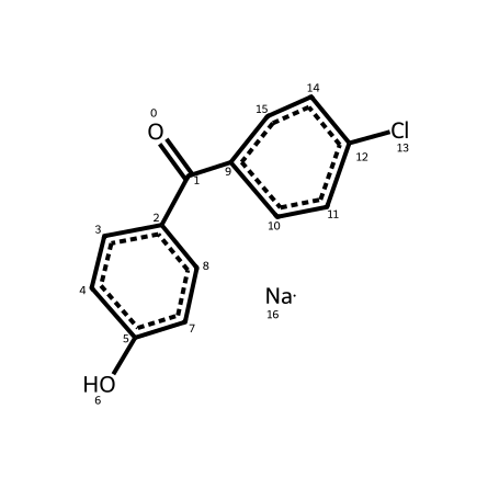 O=C(c1ccc(O)cc1)c1ccc(Cl)cc1.[Na]